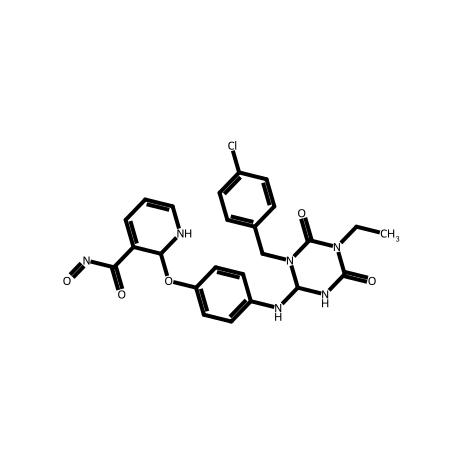 CCN1C(=O)NC(Nc2ccc(OC3NC=CC=C3C(=O)N=O)cc2)N(Cc2ccc(Cl)cc2)C1=O